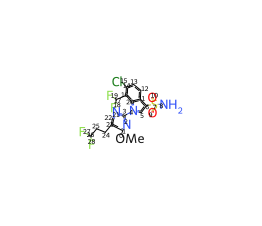 COc1nc(-n2cc(S(N)(=O)=O)c3ccc(Cl)c(C(F)F)c32)ncc1CCC(F)F